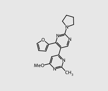 COc1cc(-c2cnc(N3CCCC3)nc2-c2ccco2)nc(C)n1